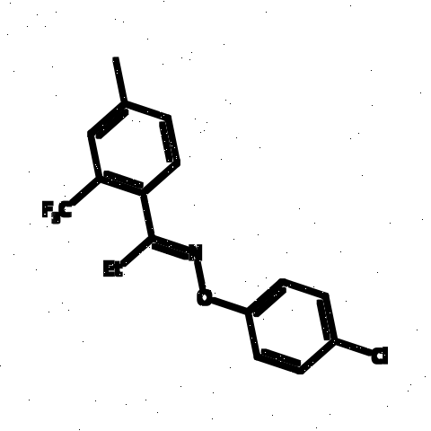 CC/C(=N\Oc1ccc(Cl)cc1)c1ccc(C)cc1C(F)(F)F